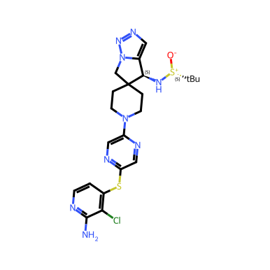 CC(C)(C)[S@@+]([O-])N[C@@H]1c2cnnn2CC12CCN(c1cnc(Sc3ccnc(N)c3Cl)cn1)CC2